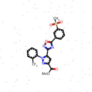 COC(=O)c1cc(-c2noc(-c3cccc(S(C)(=O)=O)c3)n2)n(-c2ccccc2C(F)(F)F)n1